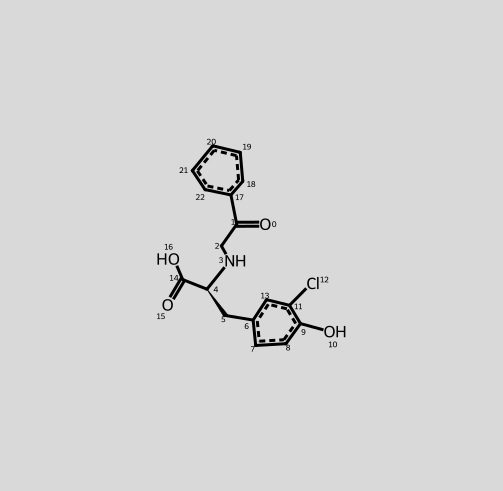 O=C(CN[C@@H](Cc1ccc(O)c(Cl)c1)C(=O)O)c1ccccc1